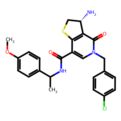 COc1ccc(C(C)NC(=O)c2cn(Cc3ccc(Cl)cc3)c(=O)c3c2SC[C@@H]3N)cc1